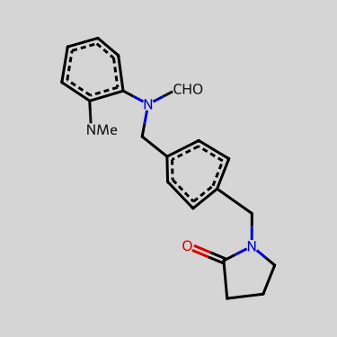 CNc1ccccc1N(C=O)Cc1ccc(CN2CCCC2=O)cc1